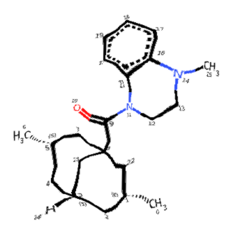 C[C@@H]1C[C@@H]2C[C@H](C)CC(C(=O)N3CCN(C)c4ccccc43)(C1)C2